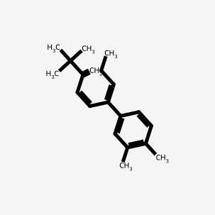 C=C(/C=C\C(=C/CC)c1ccc(C)c(C)c1)C(C)(C)C